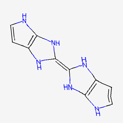 c1cc2c([nH]1)N/C(=C1\Nc3cc[nH]c3N1)N2